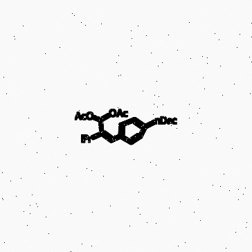 CCCCCCCCCCc1ccc(C=C(C(C)C)C(OC(C)=O)OC(C)=O)cc1